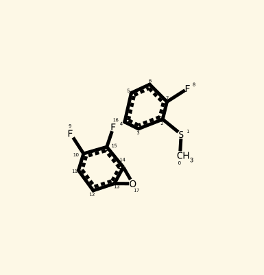 CSc1ccccc1F.Fc1ccc2c(c1F)O2